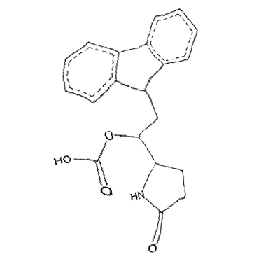 O=C1CCC(C(CC2c3ccccc3-c3ccccc32)OC(=O)O)N1